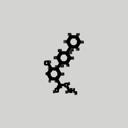 NOC(=O)c1ccc(Cl)c(-c2ccc(-c3ccccc3)cc2)c1